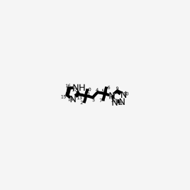 CC(C)(CCC(C)(C)n1cnnn1)c1ncc[nH]1